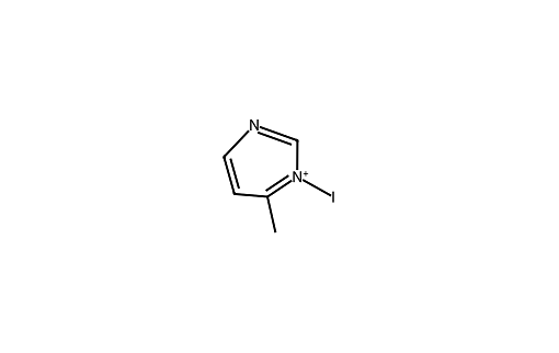 Cc1ccnc[n+]1I